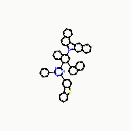 c1ccc(-c2nc(-c3ccc4sc5ccccc5c4c3)nc(-c3c(-c4cccc5ccccc45)cc(-n4c5cc6ccccc6cc5c5c6ccccc6ccc54)c4ccccc34)n2)cc1